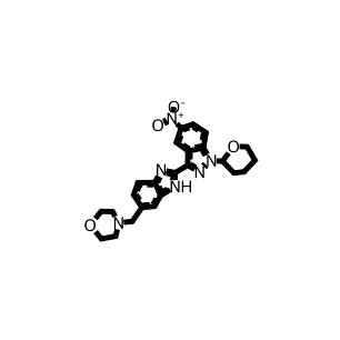 O=[N+]([O-])c1ccc2c(c1)c(-c1nc3ccc(CN4CCOCC4)cc3[nH]1)nn2C1CCCCO1